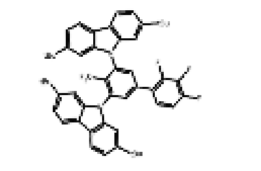 CC(C)(C)c1ccc2c3ccc(C(C)(C)C)cc3n(-c3cc(-c4ccc(F)c(F)c4F)cc(-n4c5cc(C(C)(C)C)ccc5c5ccc(C(C)(C)C)cc54)c3C(F)(F)F)c2c1